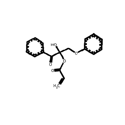 C=CC(=O)OC(O)(COc1ccccc1)C(=O)c1ccccc1